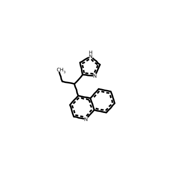 CCC(c1c[nH]cn1)c1ccnc2ccccc12